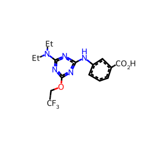 CCN(CC)c1nc(Nc2cccc(C(=O)O)c2)nc(OCC(F)(F)F)n1